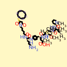 CC[C@H](C)[C@H](NC(=O)[C@H]1CCCCN1C)C(=O)N(C)[C@H](C[C@@H](OC)c1nc(C(=O)N[C@@H](Cc2ccc(NC(=O)[C@H](CCCCN)NC(=O)CCCCCN3C(=O)CC(SC4=C/C=C\C=C/C=C\C=C/C=C\4)C3=O)cc2)CC(C)C(=O)O)cs1)C(C)C